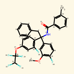 CC(C)Oc1cc(C(Cc2ccccc2)(NC(=O)c2cccc(C(F)(F)F)c2)c2ccc(OC(F)(F)C(F)F)cc2F)ccc1F